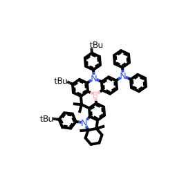 CC(C)(C)c1ccc(N2c3cc(N(c4ccccc4)c4ccccc4)ccc3B3c4ccc5c(c4C(C)(C)c4cc(C(C)(C)C)cc2c43)N(c2ccc(C(C)(C)C)cc2)C2(C)CCCCC52C)cc1